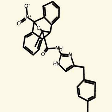 Cc1ccc(Cc2c[nH]c(NC(=O)C3(C)CC4([N+](=O)[O-])c5ccccc5C3c3ccccc34)n2)cc1